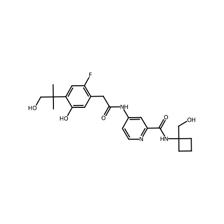 CC(C)(CO)c1cc(F)c(CC(=O)Nc2ccnc(C(=O)NC3(CO)CCC3)c2)cc1O